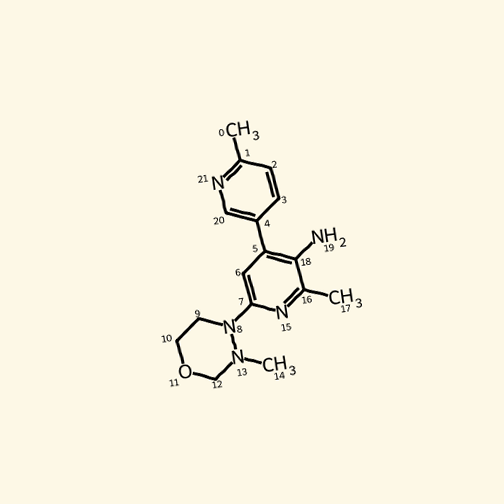 Cc1ccc(-c2cc(N3CCOCN3C)nc(C)c2N)cn1